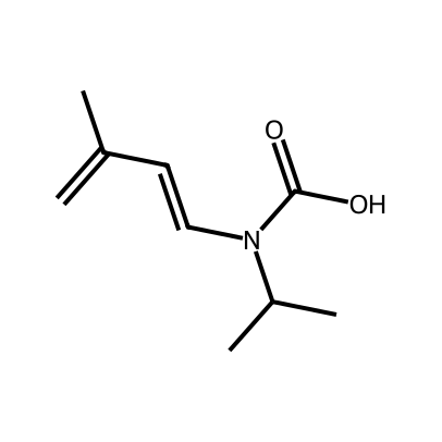 C=C(C)/C=C/N(C(=O)O)C(C)C